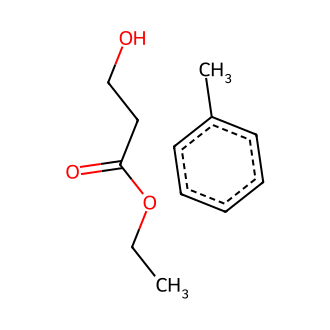 CCOC(=O)CCO.Cc1ccccc1